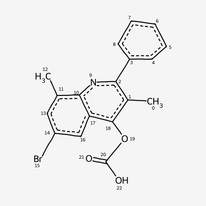 Cc1c(-c2ccccc2)nc2c(C)cc(Br)cc2c1OC(=O)O